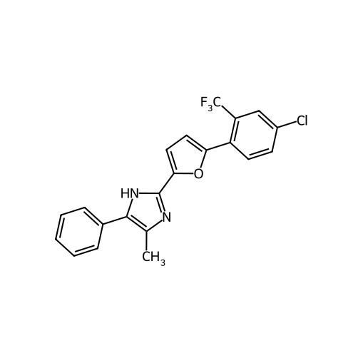 Cc1nc(-c2ccc(-c3ccc(Cl)cc3C(F)(F)F)o2)[nH]c1-c1ccccc1